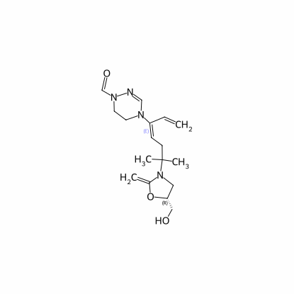 C=C/C(=C\CC(C)(C)N1C[C@H](CO)OC1=C)N1C=NN(C=O)CC1